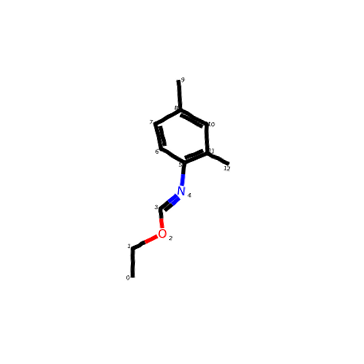 CCOC=Nc1ccc(C)cc1C